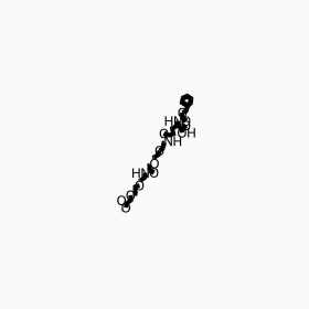 COC(=O)COCCOCCNC(=O)COCCOCCNC(=O)CCC(NC(=O)OCc1ccccc1)C(=O)O